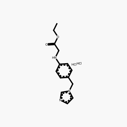 CCOC(=O)CNc1ccc(Cn2ccnc2)cc1.Cl.Cl